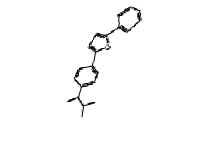 CC(C)C(C)c1ccc(-c2ccc(-c3ccccc3)s2)cc1